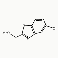 COCc1nc2cc(Cl)ncc2s1